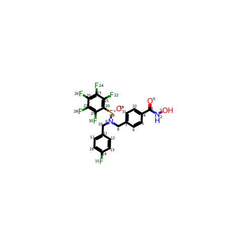 O=C(NO)c1ccc(CN(Cc2ccc(F)cc2)[S+]([O-])c2c(F)c(F)c(F)c(F)c2F)cc1